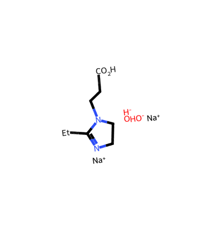 CCC1=NCCN1CCC(=O)O.[Na+].[Na+].[OH-].[OH-]